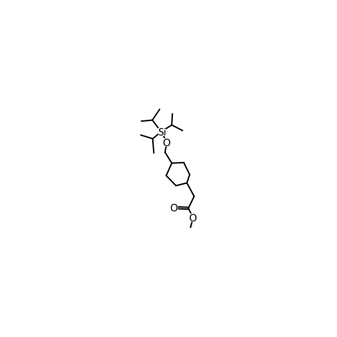 COC(=O)CC1CCC(CO[Si](C(C)C)(C(C)C)C(C)C)CC1